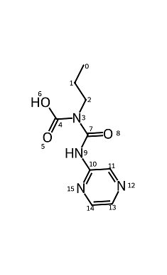 CCCN(C(=O)O)C(=O)Nc1cnccn1